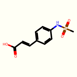 CS(=O)(=O)Nc1ccc(/C=C/C(=O)O)cc1